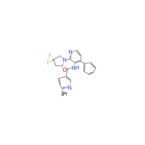 CC(C)c1ccc(C(=O)Nc2c(-c3ccccc3)ccnc2N2CCC(F)(F)C2)cn1